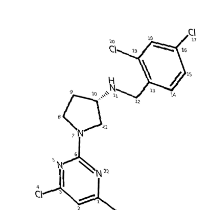 Cc1cc(Cl)nc(N2CC[C@H](NCc3ccc(Cl)cc3Cl)C2)n1